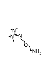 CN(C)C(=NCCOCCN)N(C)C